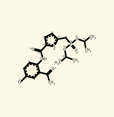 CC(=O)c1cc(Cl)ccc1NC(=O)c1ccc(CP(=O)(OC(C)C)OC(C)C)s1